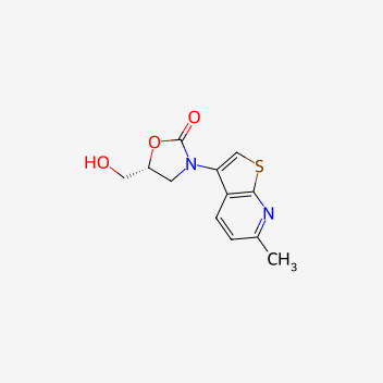 Cc1ccc2c(N3C[C@H](CO)OC3=O)csc2n1